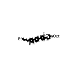 CC/C=C/CCc1ccc(-c2ccc(-c3ccc(C4CCC(CCCCCCCC)CO4)c(F)c3)cc2)c(F)c1F